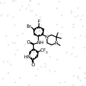 CN1CCN(c2cc(F)c(Br)cc2NC(=O)c2c[nH]c(=O)cc2C(F)(F)F)CC1(C)C